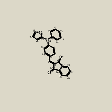 O=C1C(=Cc2ccc(N(c3ccccc3)c3ccco3)cc2)C(=O)c2ccccc21